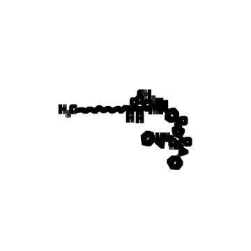 CCCCCCCCCCCCCNC(=O)N[C@H]1CN(c2nnc(-c3ccc(C(=O)N4C[C@@H](C(=O)N[C@H]5C[C@@H]5c5ccccc5)[C@H](C(=O)N[C@H]5C[C@@H]5c5ccccc5)C4)cc3)[nH]2)C[C@@H]1OC